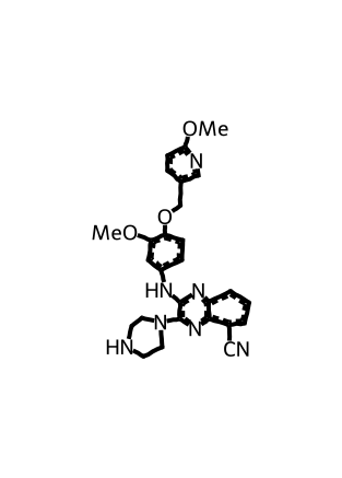 COc1ccc(COc2ccc(Nc3nc4cccc(C#N)c4nc3N3CCNCC3)cc2OC)cn1